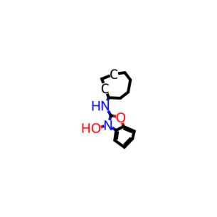 ON1c2ccccc2OC1NC1CCCCCCC1